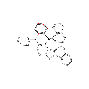 c1ccc(-c2ccccc2N(c2ccccc2)c2c(N(c3ccccc3)c3ccccc3)ccc3sc4c5ccccc5ccc4c23)cc1